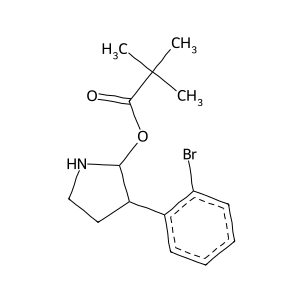 CC(C)(C)C(=O)OC1NCCC1c1ccccc1Br